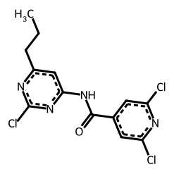 CCCc1cc(NC(=O)c2cc(Cl)nc(Cl)c2)nc(Cl)n1